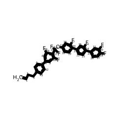 C=CCCc1ccc(-c2cc(F)c(C(F)(F)Oc3ccc(-c4ccc(-c5ccc(F)c(F)c5)c(F)c4)c(F)c3)c(F)c2)cc1